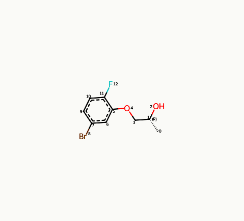 C[C@@H](O)COc1cc(Br)ccc1F